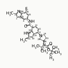 Cc1cn2cc(NC(=O)c3ccc(N4CC[C@@H](N(C(=O)OC(C)(C)C)C(C)C)C4)c4cc(C)[nH]c34)cc(F)c2n1